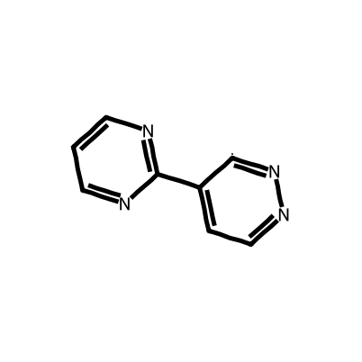 [c]1nnccc1-c1ncccn1